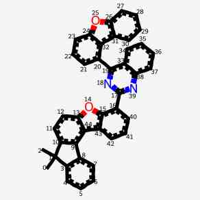 CC1(C)c2ccccc2-c2c1ccc1oc3c(-c4nc(-c5cccc6oc7ccccc7c56)c5ccccc5n4)cccc3c21